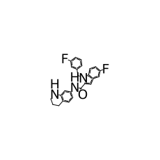 O=C(Nc1ccc2c(c1)NCCC2)c1cc2cc(F)ccc2n1Cc1cccc(F)c1